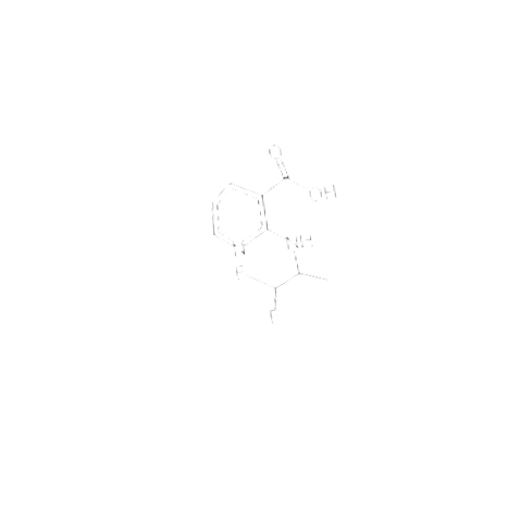 CC(Nc1ncccc1C(=O)O)C(F)F